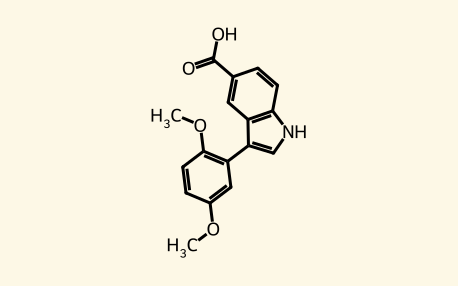 COc1ccc(OC)c(-c2c[nH]c3ccc(C(=O)O)cc23)c1